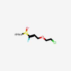 CCCCCC[S+]([O-])C(F)=CCOCCCl